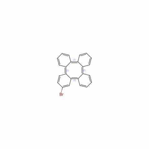 Brc1ccc2/c(c1)=c1/cccc/c1=c1\cccc\c1=c1/cccc/c1=2